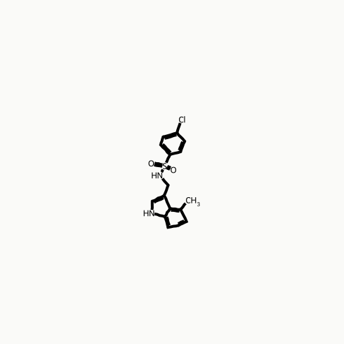 Cc1cccc2[nH]cc(CNS(=O)(=O)c3ccc(Cl)cc3)c12